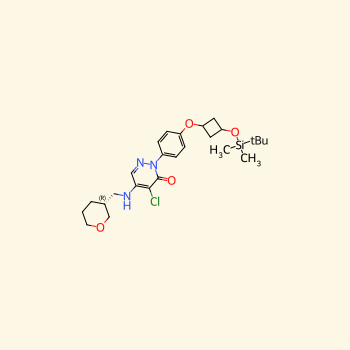 CC(C)(C)[Si](C)(C)OC1CC(Oc2ccc(-n3ncc(NC[C@H]4CCCOC4)c(Cl)c3=O)cc2)C1